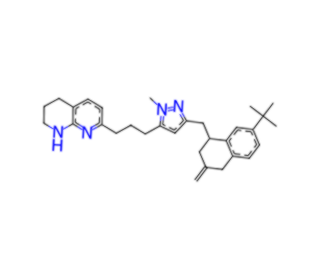 C=C1Cc2ccc(C(C)(C)C)cc2C(Cc2cc(CCCc3ccc4c(n3)NCCC4)n(C)n2)C1